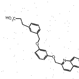 O=C(O)CCc1cccc(COc2cccc(OCc3ccc4ccccc4n3)c2)c1